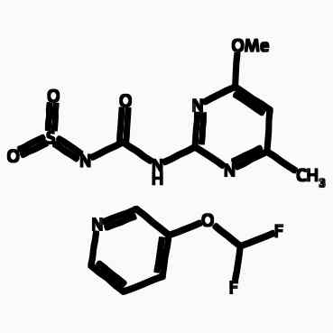 COc1cc(C)nc(NC(=O)N=S(=O)=O)n1.FC(F)Oc1cccnc1